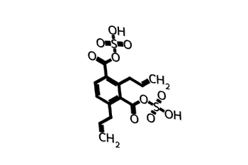 C=CCc1ccc(C(=O)OS(=O)(=O)O)c(CC=C)c1C(=O)OS(=O)(=O)O